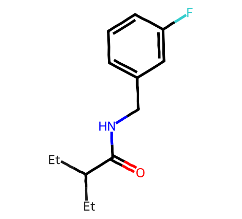 CCC(CC)C(=O)NCc1cccc(F)c1